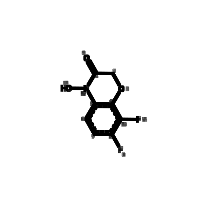 O=C1COc2c(ccc(F)c2F)N1O